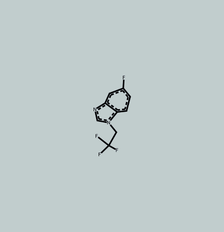 Fc1ccc2c(c1)ncn2CC(F)(F)F